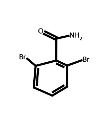 NC(=O)c1c(Br)cccc1Br